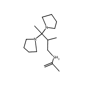 C=C(C)[SiH2]CC(C)C(C)(N1CCCC1)N1CCCC1